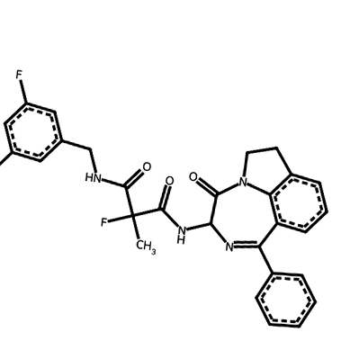 CC(F)(C(=O)NCc1cc(F)cc(F)c1)C(=O)NC1N=C(c2ccccc2)c2cccc3c2N(CC3)C1=O